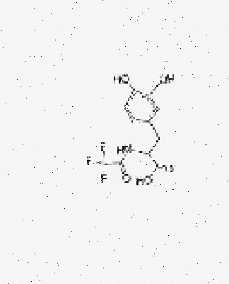 O=C(O)C(Cc1ccc(O)c(O)c1)NC(=O)C(F)(F)F